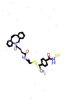 CC(SSCCNC(=O)CCC(=O)N1Cc2ccccc2C#Cc2ccccc21)c1ccc(C(=O)NS)cc1